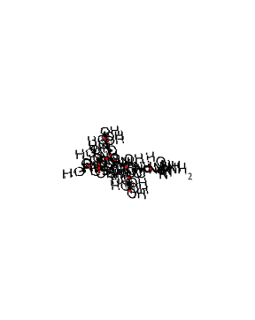 CSSC[C@@H](NC(=O)[C@H](CCC(=O)NCCO)NC(=O)[C@@H](CCC(=O)O)NC(=O)[C@H](CCC(=O)NC[C@H](O)[C@@H](O)[C@H](O)[C@H](O)CO)NC(=O)[C@@H](CCC(=O)O)NC(O)[C@H](CCC(=O)NC[C@H](O)[C@@H](O)[C@H](O)[C@H](O)CO)NC(O)CC[C@@H](NC(=O)c1ccc(NCc2cnc3nc(N)[nH]c(=O)c3n2)cc1)C(=O)O)C(=O)O